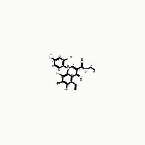 C=Cc1c(F)c(F)c(F)c2c1c(=O)c(C(=O)OCC)cn2-c1ccc(F)cc1F